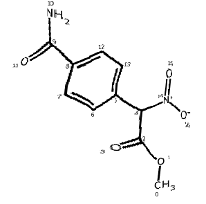 COC(=O)C(c1ccc(C(N)=O)cc1)[N+](=O)[O-]